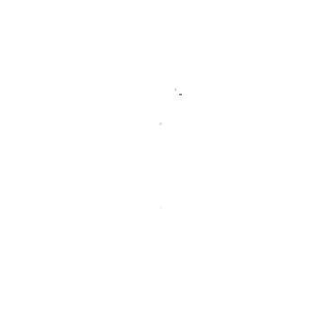 CCN(C)C=Nc1cc(C)c(N(C)c2ccccc2C(F)(F)F)cc1C